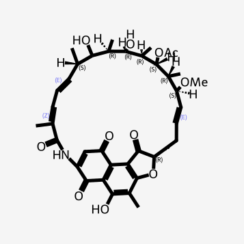 CO[C@H]1/C=C/C[C@@]2(C)Oc3c(C)c(O)c4c(c3C2=O)C(=O)C=C(NC(=O)/C(C)=C\C=C\[C@H](C)C(O)[C@@H](C)[C@@H](O)[C@@H](C)[C@H](OC(C)=O)[C@@H]1C)C4=O